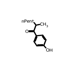 CCCCCC(C)C(=O)c1ccc(O)cc1